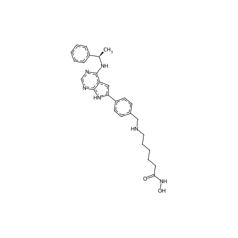 C[C@@H](Nc1ncnc2[nH]c(-c3ccc(CNCCCCCC(=O)NO)cc3)cc12)c1ccccc1